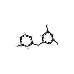 Cc1cc(C)cc(Cc2cncc(C)n2)c1